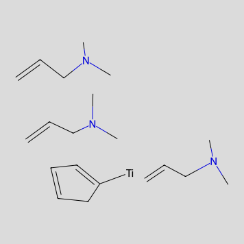 C=CCN(C)C.C=CCN(C)C.C=CCN(C)C.[Ti][C]1=CC=CC1